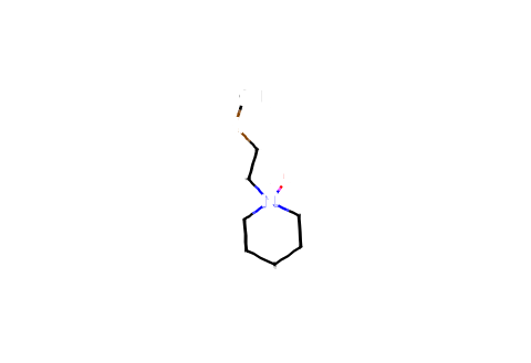 CSCC[N+]1([O-])CCCCC1